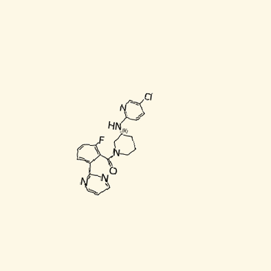 O=C(c1c(F)cccc1-c1ncccn1)N1CCC[C@@H](Nc2ccc(Cl)cn2)C1